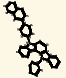 c1ccc(-n2c3ccccc3c3ccc4c(c5ccccc5n4-c4ccc(-c5ccc6ccccc6c5)cc4)c32)cc1